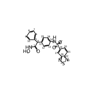 O=C(NO)C(c1ccccc1)c1ccc(NS(=O)(=O)c2ccc3nsnc3c2)cc1